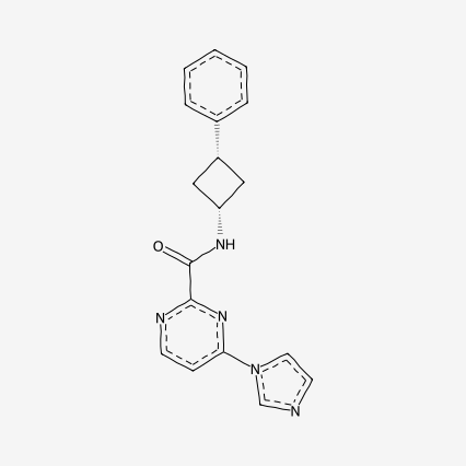 O=C(N[C@H]1C[C@@H](c2ccccc2)C1)c1nccc(-n2ccnc2)n1